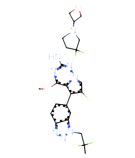 COc1nc(N[C@@H]2CN(C3COC3)CC2(F)F)nn2cc(F)c(-c3ccc4nnn(CC(C)(F)F)c4c3)c12